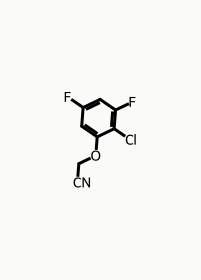 N#CCOc1cc(F)cc(F)c1Cl